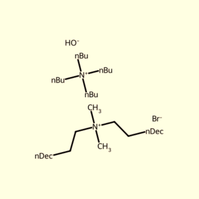 CCCCCCCCCCCC[N+](C)(C)CCCCCCCCCCCC.CCCC[N+](CCCC)(CCCC)CCCC.[Br-].[OH-]